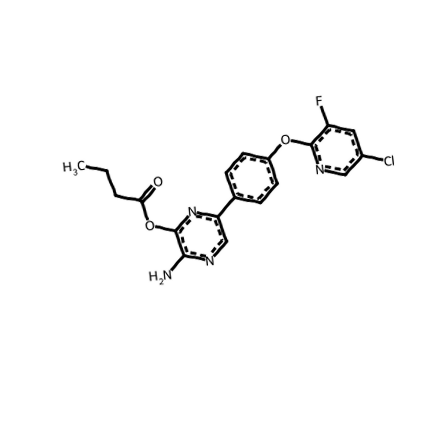 CCCC(=O)Oc1nc(-c2ccc(Oc3ncc(Cl)cc3F)cc2)cnc1N